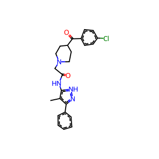 Cc1c(-c2ccccc2)n[nH]c1NC(=O)CN1CCC(C(=O)c2ccc(Cl)cc2)CC1